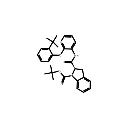 CC(C)(C)OC(=O)N1c2ccccc2C[C@@H]1C(=O)Nc1cccnc1Oc1ccccc1C(C)(C)C